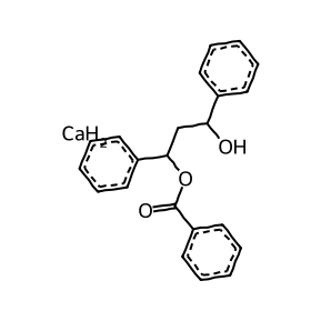 O=C(OC(CC(O)c1ccccc1)c1ccccc1)c1ccccc1.[CaH2]